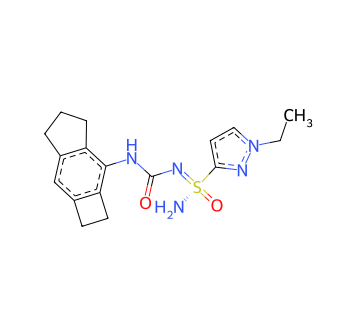 CCn1ccc([S@@](N)(=O)=NC(=O)Nc2c3c(cc4c2CC4)CCC3)n1